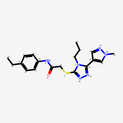 CCCn1c(SCC(=O)Nc2ccc(CC)cc2)nnc1-c1cnn(C)c1